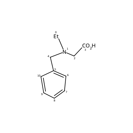 [CH2]CN(CC(=O)O)Cc1ccccc1